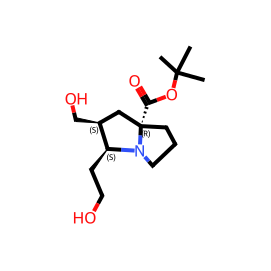 CC(C)(C)OC(=O)[C@]12CCCN1[C@@H](CCO)[C@@H](CO)C2